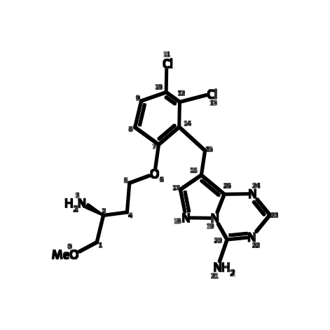 COC[C@@H](N)CCOc1ccc(Cl)c(Cl)c1Cc1cnn2c(N)ncnc12